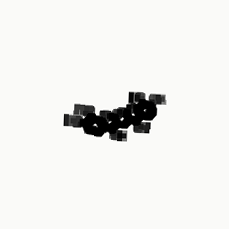 O=c1oc2c(O)c(O)ccc2c(O)c1Cc1c(O)c2ccc(O)c(O)c2oc1=O